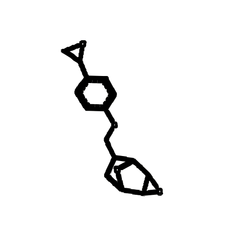 c1cc(C2CO2)ccc1OCC1CC2OC1C1OC21